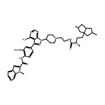 COc1cc(-c2nn(C3CCN(CCNC(=O)[C@H](C)CCC45CC(C)CC4CC(C)C5)CC3)c3ncnc(N)c23)ccc1NC(=O)c1cc2ccccc2n1C